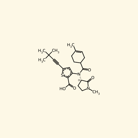 CC1=CCC(C(=O)N(c2cc(C#CC(C)(C)C)sc2C(=O)O)[C@H]2CCN(C)C2=O)CC1